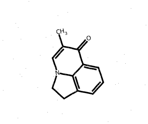 Cc1cn2c3c(cccc3c1=O)CC2